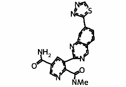 CNC(=O)c1ncc(C(N)=O)cc1-c1ncc2ccc(-c3nncs3)cc2n1